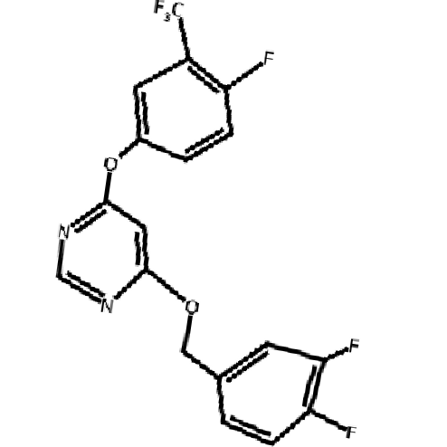 Fc1ccc(COc2cc(Oc3ccc(F)c(C(F)(F)F)c3)ncn2)cc1F